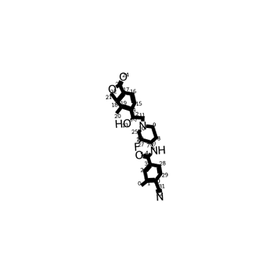 Cc1cc(C(=O)N[C@H]2CCN(C[C@H](O)c3ccc4c(c3C)COC4=O)C[C@H]2F)ccc1C#N